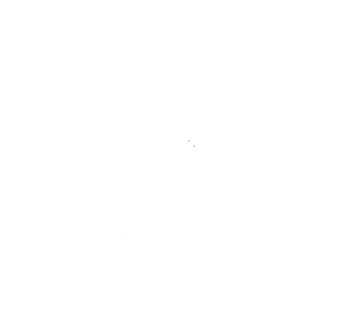 C=C(N/C=C\C(C)(C)CCC)C(C)C